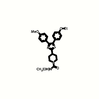 CCOc1ccc(-c2sc(C3CCN(C(=O)N(C)O)CC3)nc2-c2ccc(OC)cc2)cc1